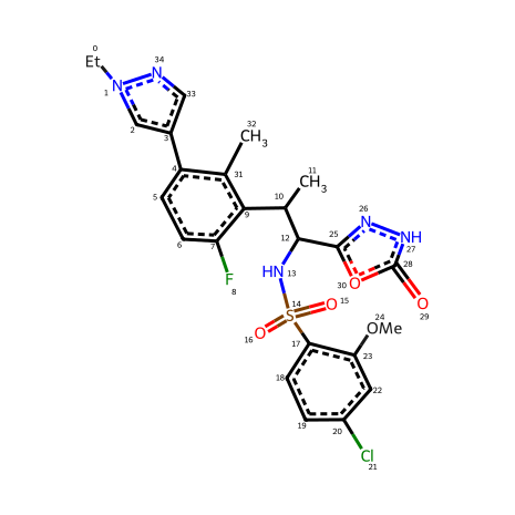 CCn1cc(-c2ccc(F)c(C(C)C(NS(=O)(=O)c3ccc(Cl)cc3OC)c3n[nH]c(=O)o3)c2C)cn1